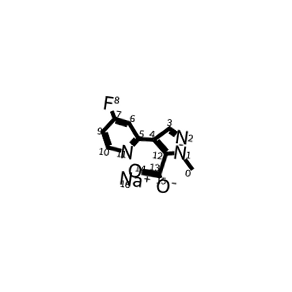 Cn1ncc(-c2cc(F)ccn2)c1C(=O)[O-].[Na+]